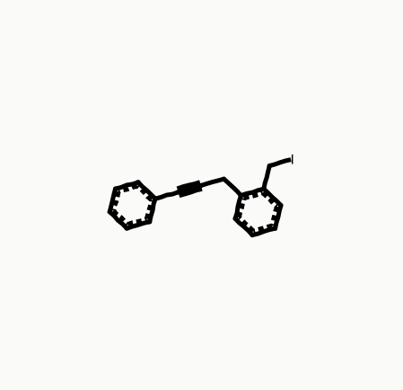 ICc1ccccc1CC#Cc1ccccc1